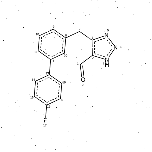 O=Cc1[nH]nnc1Cc1cccc(-c2ccc(F)cc2)c1